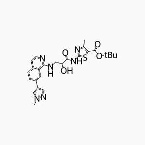 Cc1nc(NC(=O)[C@@H](O)CNc2nccc3ccc(-c4cnn(C)c4)cc23)sc1C(=O)OC(C)(C)C